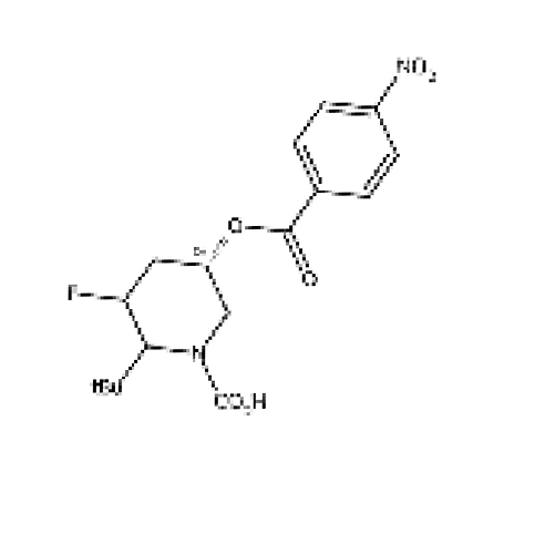 CC(C)(C)C1C(F)C[C@H](OC(=O)c2ccc([N+](=O)[O-])cc2)CN1C(=O)O